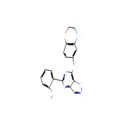 COc1ccccc1-c1nc(Nc2ccc3c(c2)NCCO3)c2[nH]ncc2n1